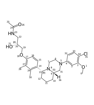 COc1cc(N2CCN3[C@@H](CCC[C@@H]3c3ccc(OC[C@H](O)CNC(C)=O)c(C)c3C)C2)ccc1Cl